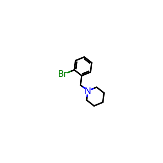 Brc1ccccc1CN1CCCCC1